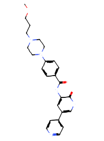 COCCCN1CCN(c2ccc(C(=O)Nc3cc(-c4ccncc4)c[nH]c3=O)cc2)CC1